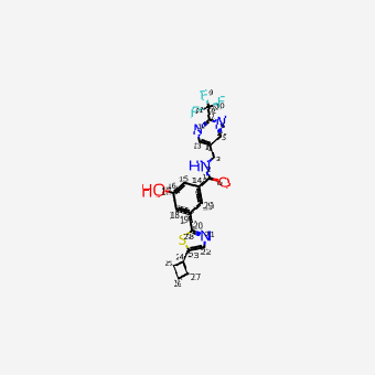 O=C(NCc1cnc(C(F)(F)F)nc1)c1cc(O)cc(-c2ncc(C3CCC3)s2)c1